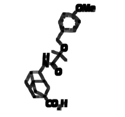 COc1ccc(COC(C)(C)C(=O)NC2C3CC4CC2CC(C(=O)O)(C4)C3)cc1